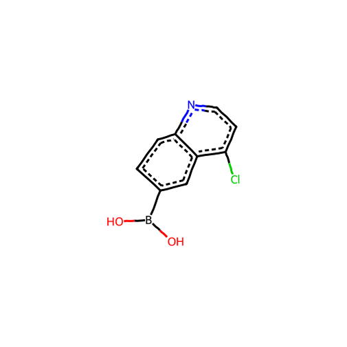 OB(O)c1ccc2nccc(Cl)c2c1